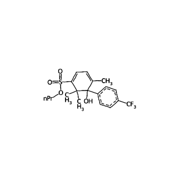 CCCOS(=O)(=O)C1=CC=C(C)C(O)(c2ccc(C(F)(F)F)cc2)C1(C)C